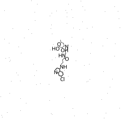 CC1C[C@H](N(C)CCCNC(=O)CCCNc2ccnc3cc(Cl)ccc23)[C@@H](O)[C@H](O)O1